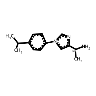 CC(C)c1ccc(-n2cnc([C@H](C)N)c2)cc1